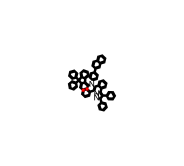 c1ccc(-c2nn3c(-c4ccccc4)c(N(c4ccc(-c5ccc6ccccc6c5)cc4)c4cccc5c4-c4ccccc4C5(c4ccccc4)c4ccccc4)c4ccccc4c3c2-c2ccccc2)cc1